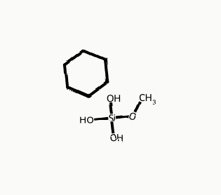 C1CCCCC1.CO[Si](O)(O)O